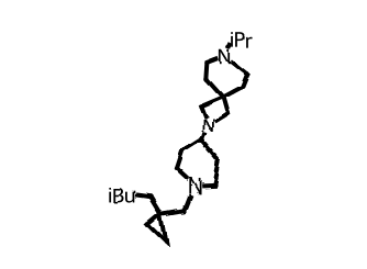 CCC(C)CC1(CN2CCC(N3CC4(CCN(C(C)C)CC4)C3)CC2)CC1